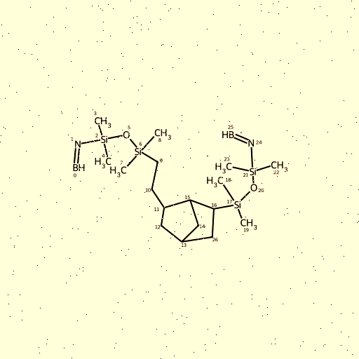 B=N[Si](C)(C)O[Si](C)(C)CCC1CC2CC1C([Si](C)(C)O[Si](C)(C)N=B)C2